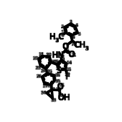 Cc1ccccc1C(C)OC(=O)Nc1cc(F)sc1-c1ccccc1-c1ccc(C2(C(=O)O)CC2)cc1